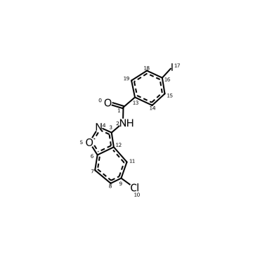 O=C(Nc1noc2ccc(Cl)cc12)c1ccc(I)cc1